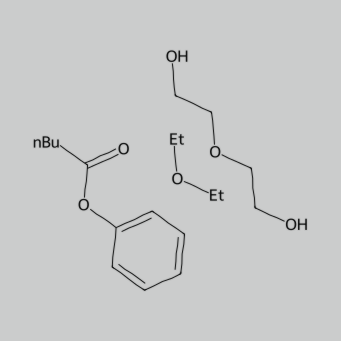 CCCCC(=O)Oc1ccccc1.CCOCC.OCCOCCO